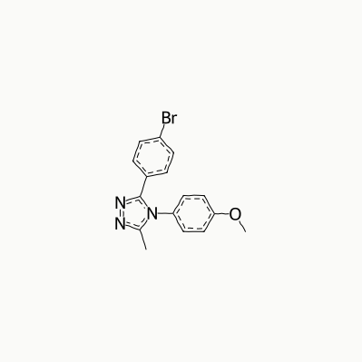 COc1ccc(-n2c(C)nnc2-c2ccc(Br)cc2)cc1